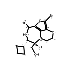 OC[C@]1(S)[C@H](C2CCC2)NC(O)c2sc(Br)c3c2N1CCO3